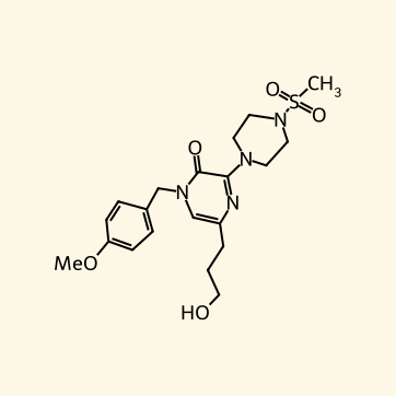 COc1ccc(Cn2cc(CCCO)nc(N3CCN(S(C)(=O)=O)CC3)c2=O)cc1